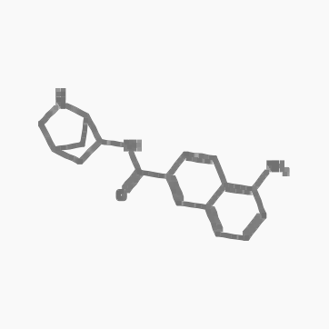 Nc1cccc2cc(C(=O)NC3CC4CNC3C4)ccc12